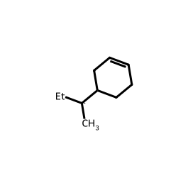 CC[C](C)C1CC=CCC1